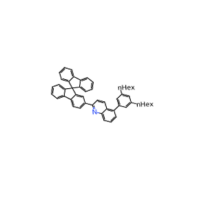 CCCCCCc1cc(CCCCCC)cc(-c2cccc3nc(-c4ccc5c(c4)C4(c6ccccc6-c6ccccc64)c4ccccc4-5)ccc23)c1